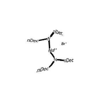 CCCCCCCCCC[N](CCCCCCCCCC)[Nd+][N](CCCCCCCCCC)CCCCCCCCCC.[Br-]